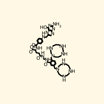 Nc1nc(O)c2nc(CNc3ccc(C(=O)NC(CCC(=O)NCNC(=O)c4cc(CN5CCCNCCNCCCNCC5)ccc4CN4CCCNCCNCCCNCC4)C(=O)O)cc3)cnc2n1